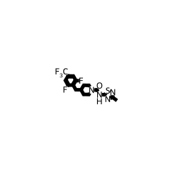 Cc1nsc(NC(=O)N2CCC(Cc3c(F)cc(C(F)(F)F)cc3F)CC2)n1